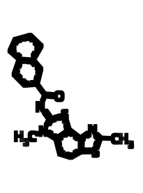 Cc1nc2c(ccc3c2sc(=NC(=O)c2ccc4ccccc4c2)n3C)s1